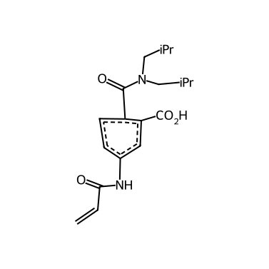 C=CC(=O)Nc1ccc(C(=O)N(CC(C)C)CC(C)C)c(C(=O)O)c1